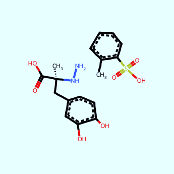 C[C@@](Cc1ccc(O)c(O)c1)(NN)C(=O)O.Cc1ccccc1S(=O)(=O)O